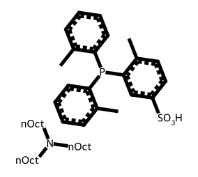 CCCCCCCCN(CCCCCCCC)CCCCCCCC.Cc1ccccc1P(c1ccccc1C)c1cc(S(=O)(=O)O)ccc1C